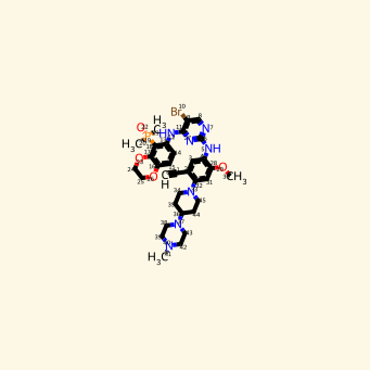 C#Cc1cc(Nc2ncc(Br)c(Nc3ccc4c(c3P(C)(C)=O)OCCO4)n2)c(OC)cc1N1CCC(N2CCN(C)CC2)CC1